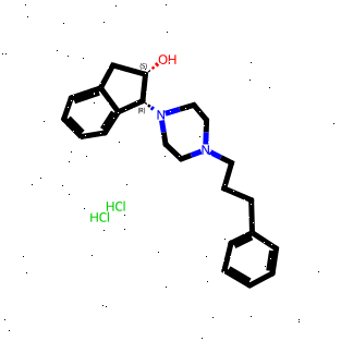 Cl.Cl.O[C@H]1Cc2ccccc2[C@H]1N1CCN(CCCc2ccccc2)CC1